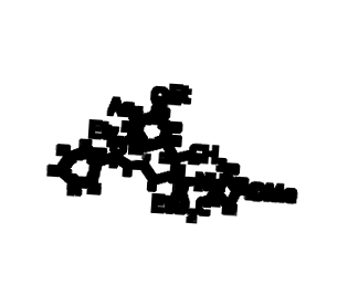 CCOC(=O)C1(NC(=O)N(CCCCc2ccccc2)C(C)c2cc(OCC)c(C(C)=O)c(OCC)c2)CC(OC)C1